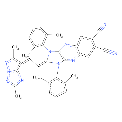 Cc1nc2/c(=C\C=C3N(c4c(C)cccc4C)c4nc5cc(C#N)c(C#N)cc5nc4N3c3c(C)cccc3C)c(C)nn2n1